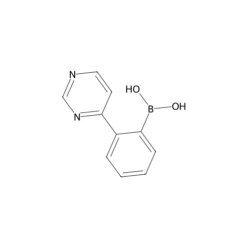 OB(O)c1ccccc1-c1ccncn1